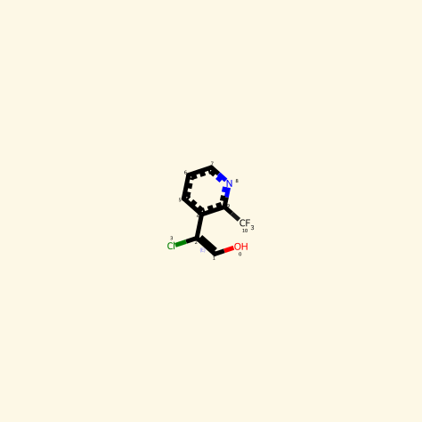 O/C=C(/Cl)c1cccnc1C(F)(F)F